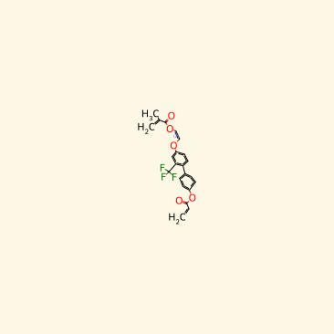 C=CC(=O)Oc1ccc(-c2ccc(O/C=C\OC(=O)C(=C)C)cc2C(F)(F)F)cc1